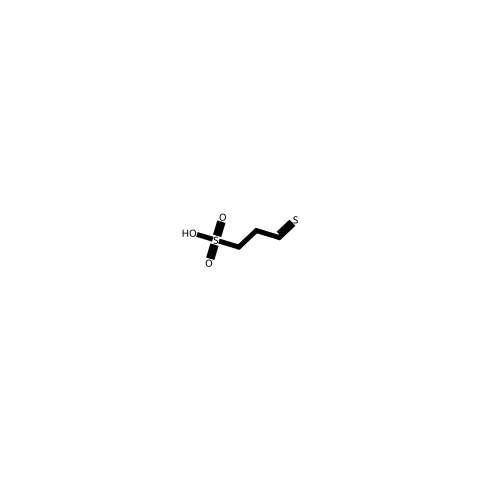 O=S(=O)(O)CCC=S